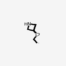 [CH2]COC1CNC1